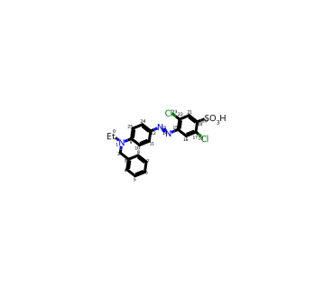 CCN(Cc1ccccc1)c1ccc(N=Nc2cc(Cl)c(S(=O)(=O)O)cc2Cl)cc1